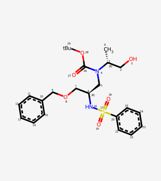 C[C@H](CO)N(C[C@H](COCc1ccccc1)NS(=O)(=O)c1ccccc1)C(=O)OC(C)(C)C